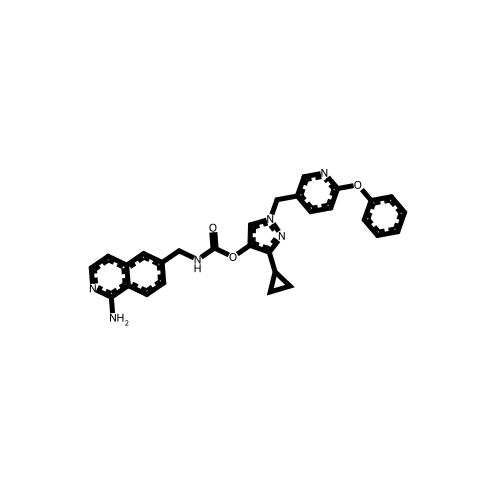 Nc1nccc2cc(CNC(=O)Oc3cn(Cc4ccc(Oc5ccccc5)nc4)nc3C3CC3)ccc12